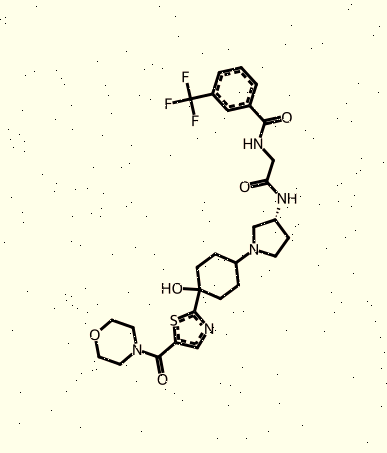 O=C(CNC(=O)c1cccc(C(F)(F)F)c1)N[C@@H]1CCN(C2CCC(O)(c3ncc(C(=O)N4CCOCC4)s3)CC2)C1